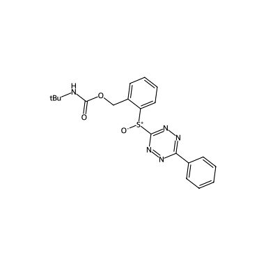 CC(C)(C)NC(=O)OCc1ccccc1[S+]([O-])c1nnc(-c2ccccc2)nn1